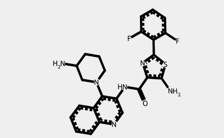 Nc1sc(-c2c(F)cccc2F)nc1C(=O)Nc1cnc2ccccc2c1N1CCCC(N)C1